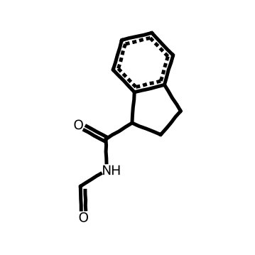 O=CNC(=O)C1CCc2ccccc21